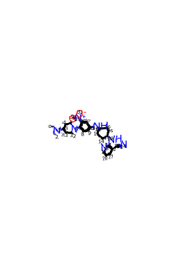 CN(C)C1CCN(c2ccc(N[C@H]3CC[C@H](Nc4ncccc4C#N)CC3)cc2[N+](=O)[O-])CC1